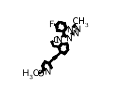 COc1ccc(C#Cc2cccc3c2CCCN3c2nc3nnc(C)n3c3ccc(F)cc23)cn1